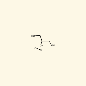 OCC(O)CO.OCl